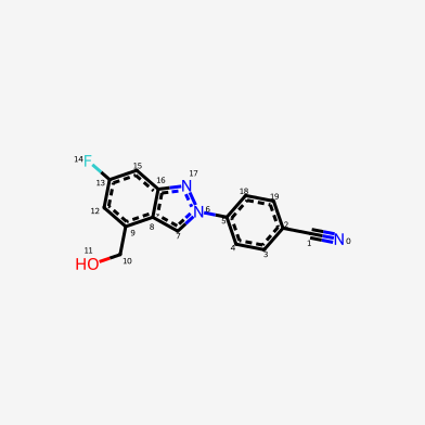 N#Cc1ccc(-n2cc3c(CO)cc(F)cc3n2)cc1